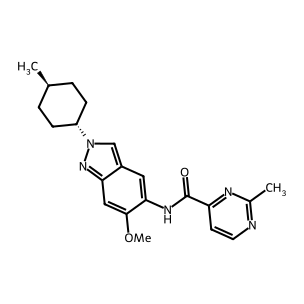 COc1cc2nn([C@H]3CC[C@H](C)CC3)cc2cc1NC(=O)c1ccnc(C)n1